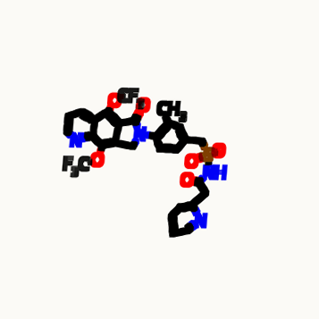 Cc1cc(CS(=O)(=O)NC(=O)Cc2ccccn2)ccc1N1Cc2c(c(OC(F)(F)F)c3cccnc3c2OC(F)(F)F)C1=O